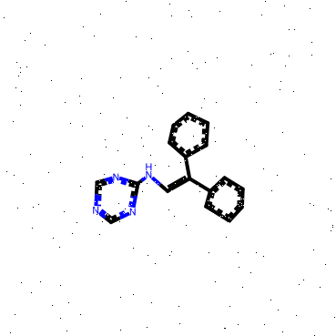 C(Nc1ncncn1)=C(c1ccccc1)c1ccccc1